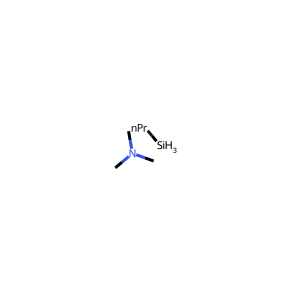 CCC[SiH3].CN(C)C